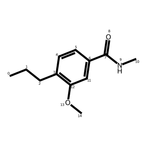 CCCc1ccc(C(=O)NC)cc1OC